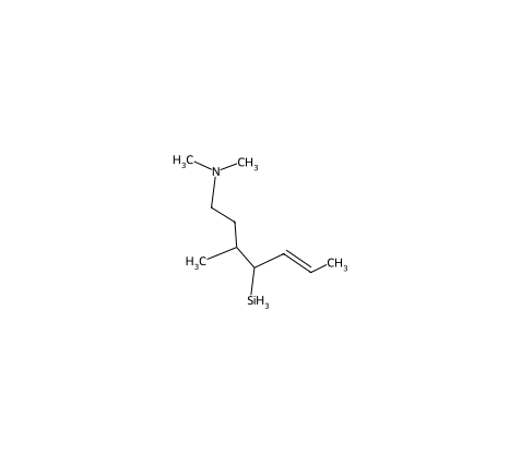 CC=CC([SiH3])C(C)CCN(C)C